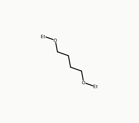 [CH2]COCCCCOCC